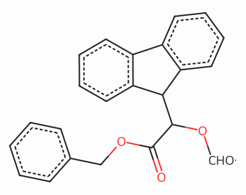 O=[C]OC(C(=O)OCc1ccccc1)C1c2ccccc2-c2ccccc21